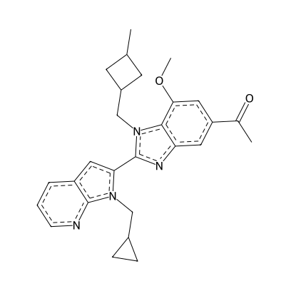 COc1cc(C(C)=O)cc2nc(-c3cc4cccnc4n3CC3CC3)n(CC3CC(C)C3)c12